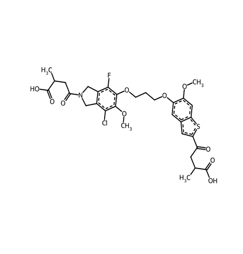 COc1cc2sc(C(=O)CC(C)C(=O)O)cc2cc1OCCCOc1c(F)c2c(c(Cl)c1OC)CN(C(=O)CC(C)C(=O)O)C2